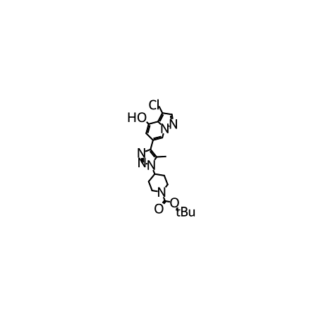 Cc1c(-c2cc(O)c3c(Cl)cnn3c2)nnn1C1CCN(C(=O)OC(C)(C)C)CC1